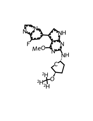 [2H]C([2H])([2H])O[C@H]1CC[C@H](Nc2nc(OC)c3c(-c4cc(F)c5nccn5c4)c[nH]c3n2)CC1